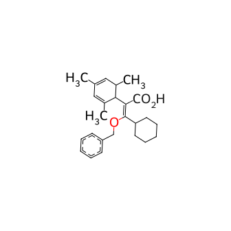 CC1=CC(C)C(/C(C(=O)O)=C(\OCc2ccccc2)C2CCCCC2)C(C)=C1